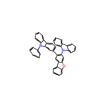 c1ccc(-n2c3ccccc3c3ccc(-c4cc5c(cc4-n4c6ccccc6c6ccccc64)oc4ccccc45)cc32)cc1